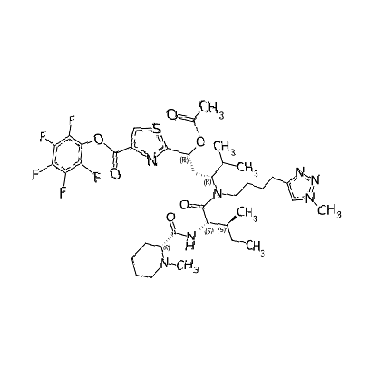 CC[C@H](C)[C@H](NC(=O)[C@H]1CCCCN1C)C(=O)N(CCCCc1cn(C)nn1)[C@H](C[C@@H](OC(C)=O)c1nc(C(=O)Oc2c(F)c(F)c(F)c(F)c2F)cs1)C(C)C